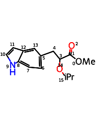 COC(=O)C(Cc1ccc2[nH]ccc2c1)OC(C)C